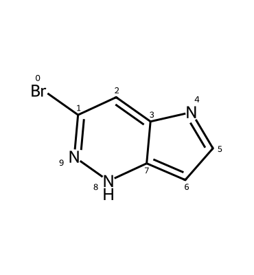 Brc1cc2nccc-2[nH]n1